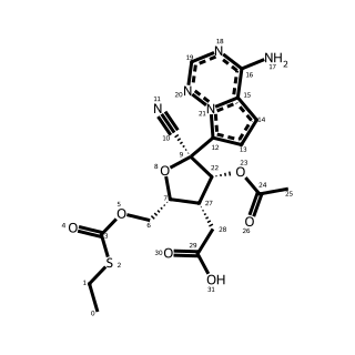 CCSC(=O)OC[C@@H]1O[C@@](C#N)(c2ccc3c(N)ncnn23)[C@H](OC(C)=O)[C@@H]1CC(=O)O